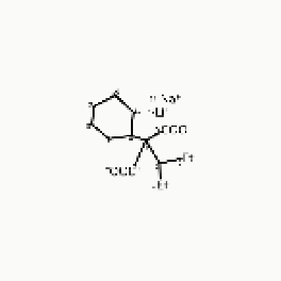 CCC(CC)C(C(=O)[O-])(C(=O)[O-])C1CCCCC1.[Li+].[Na+]